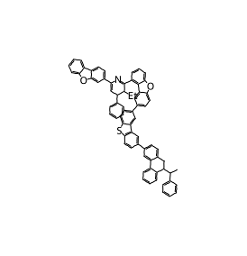 CCC1C(c2cccc3oc4ccc(-c5ccc6sc7ccc(-c8ccc9c(c8)-c8ccccc8C(C(C)c8ccccc8)C9)cc7c6c5)cc4c23)=NC(c2ccc3c(c2)oc2ccccc23)=CC1c1ccccc1